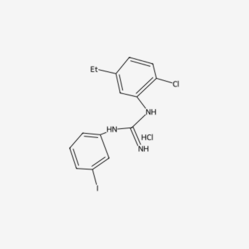 CCc1ccc(Cl)c(NC(=N)Nc2cccc(I)c2)c1.Cl